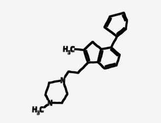 CC1=C(CCN2CCN(C)CC2)c2cccc(-c3ccccc3)c2C1